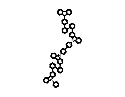 c1ccc(-n2c3ccccc3c3cc(-c4ccccc4-c4ccccc4-c4ccc5c(c4)c4ccccc4n5-c4ccc(-c5ccc(-n6c7ccccc7c7cc(-c8ccccc8-c8ccccc8-c8ccc(C9c%10ccccc%10-c%10ccccc%109)cc8)ccc76)cc5)cc4)ccc32)cc1